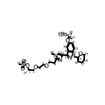 C[C@@H](COCCOCCc1nc(-c2nn(C3CCCCO3)c3ccc(O[Si](C)(C)C(C)(C)C)cc23)cn1C)OS(C)(=O)=O